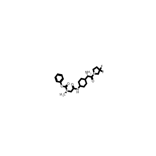 CN(CC(=O)NC1CCC([C@H](N)C(=O)N2CCC(F)(F)C2)CC1)C(=O)Oc1ccccc1